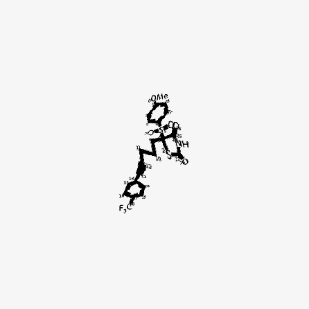 COc1ccc(S(=O)(=O)C2(CCCC#Cc3ccc(C(F)(F)F)cc3)SC(=O)NC2=O)cc1